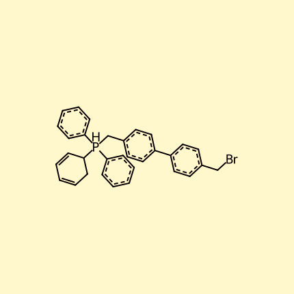 BrCc1ccc(-c2ccc(C[PH](c3ccccc3)(c3ccccc3)C3C=CC=CC3)cc2)cc1